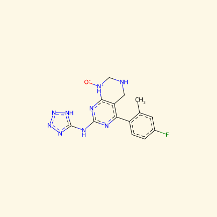 Cc1cc(F)ccc1-c1nc(Nc2nnn[nH]2)nc2c1CNC[NH+]2[O-]